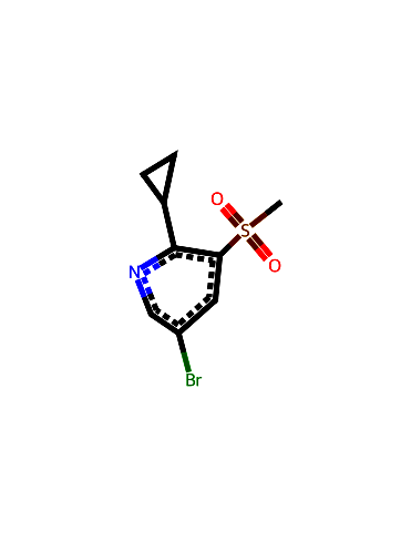 CS(=O)(=O)c1cc(Br)cnc1C1CC1